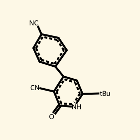 [C-]#[N+]c1c(-c2ccc(C#N)cc2)cc(C(C)(C)C)[nH]c1=O